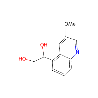 COc1cnc2cccc(C(O)CO)c2c1